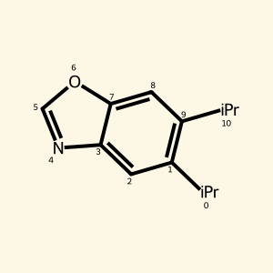 CC(C)c1cc2ncoc2cc1C(C)C